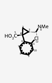 CNC[C@H]1C[C@@]1(C(=O)O)c1ccccc1Cl